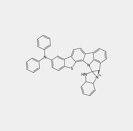 C1=CC2NC34C(c5cccc6c7ccc8c9cc(N(c%10ccccc%10)c%10ccccc%10)ccc9sc8c7n3c56)[N@@]4C2C=C1